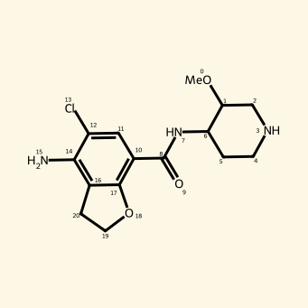 COC1CNCCC1NC(=O)c1cc(Cl)c(N)c2c1OCC2